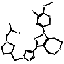 COc1ncc(-n2nc(-c3cnn(CC4CCN(CC(C)O)C4)c3)c3c2CCOCC3)cc1F